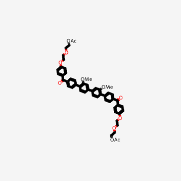 COc1cc(-c2ccc(-c3ccc(C(=O)c4ccc(OCCOCCOC(C)=O)cc4)cc3)c(OC)c2)ccc1-c1ccc(C(=O)c2ccc(OCCOCCOC(C)=O)cc2)cc1